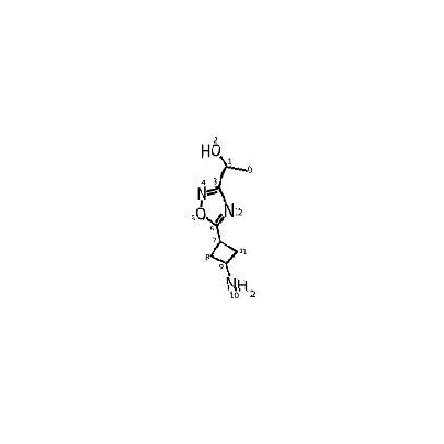 CC(O)c1noc(C2CC(N)C2)n1